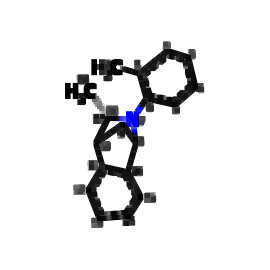 Cc1ccccc1N1C2CC(c3ccccc32)[C@@H]1C